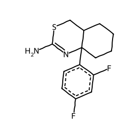 NC1=NC2(c3ccc(F)cc3F)CCCCC2CS1